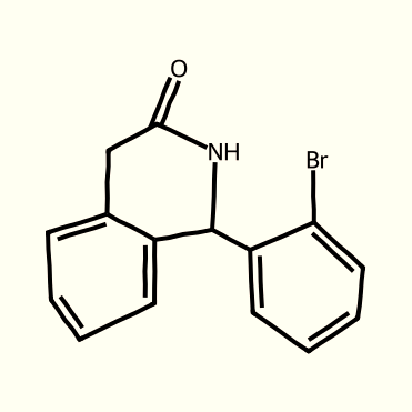 O=C1Cc2ccccc2C(c2ccccc2Br)N1